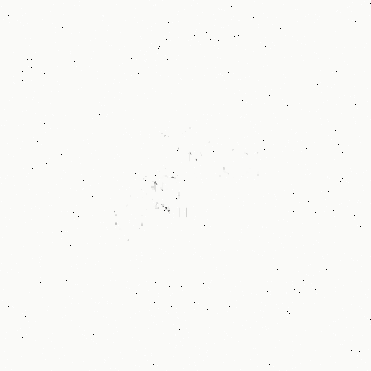 C[C@@H](c1ccccc1)N1CCC(C2(N(Cc3ccccc3)Cc3ccccc3)CC2)C1